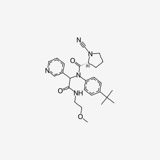 COCCNC(=O)C(c1cccnc1)N(C(=O)[C@H]1CCCN1C#N)c1ccc(C(C)(C)C)cc1